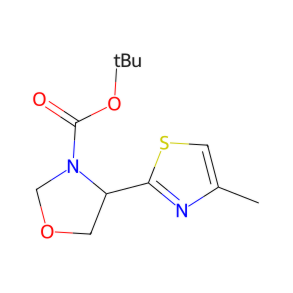 Cc1csc(C2COCN2C(=O)OC(C)(C)C)n1